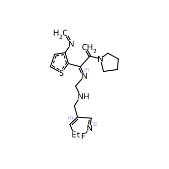 C=Nc1ccsc1/C(=N\CNCC(/C=N\F)=C/CC)C(=C)N1CCCC1